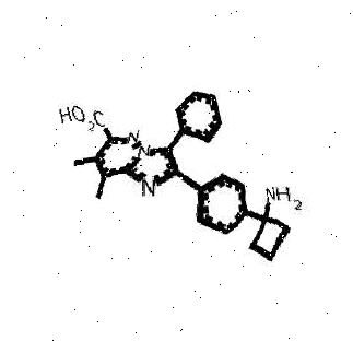 Cc1c(C(=O)O)nn2c(-c3ccccc3)c(-c3ccc(C4(N)CCC4)cc3)nc2c1C